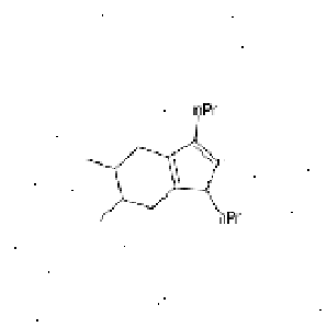 CCCC1=[C]C(CCC)C2=C1CC(C)C(C)C2